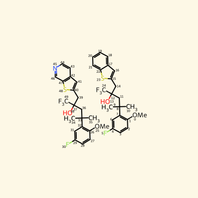 COc1ccc(F)cc1C(C)(C)CC(O)(Cc1cc2ccccc2s1)C(F)(F)F.COc1ccc(F)cc1C(C)(C)CC(O)(Cc1cc2ccncc2s1)C(F)(F)F